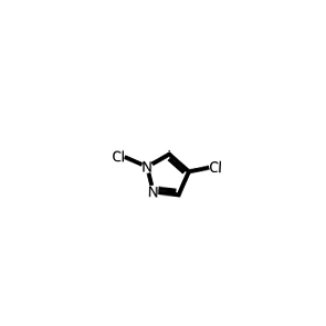 Clc1[c]n(Cl)nc1